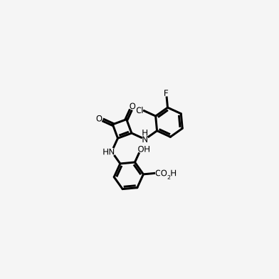 O=C(O)c1cccc(Nc2c(Nc3cccc(F)c3Cl)c(=O)c2=O)c1O